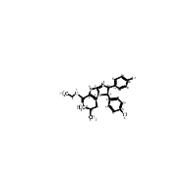 CCOC(=O)C1=C(CC(C)C)N2C(=NC(c3ccc(I)cc3)C2c2ccc(Cl)cc2)S1